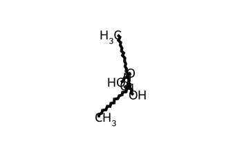 CCCCCCCCCCCCCCCC(=O)N(CCO)CCCN(CCO)C(=O)CCCCCCCCCCCCCCC